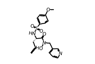 C=CC[C@H](NS(=O)(=O)c1ccc(OC)cc1)C(=O)N(O)Cc1cccnc1